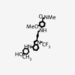 CNC(=O)c1ccc(NCC#Cc2cc3c(N[C@H]4CC[C@](C)(O)CC4)cccc3n2CC(F)(F)F)c(OC)c1